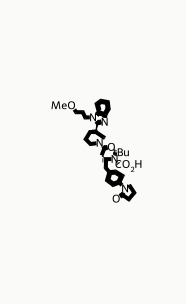 COCCCn1c([C@@H]2CCCN(C(=O)C[C@@H](Cc3ccc(N4CCCC4=O)cc3)N(C(=O)O)C(C)(C)C)C2)nc2ccccc21